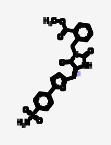 COC(=O)c1ccccc1CN1C(=O)N/C(=C/c2ccc(-c3ccc(S(N)(=O)=O)cc3)o2)C1=O